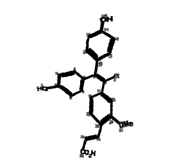 CCC(=C(c1ccc(O)cc1)c1ccc(O)cc1)c1ccc(C=CC(=O)O)c(OC)c1